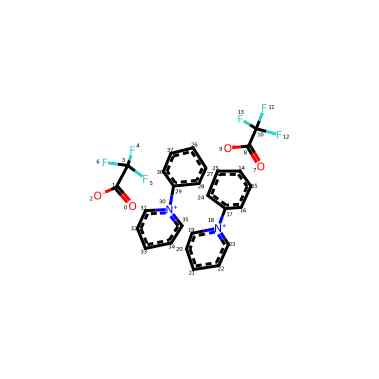 O=C([O-])C(F)(F)F.O=C([O-])C(F)(F)F.c1ccc(-[n+]2ccccc2)cc1.c1ccc(-[n+]2ccccc2)cc1